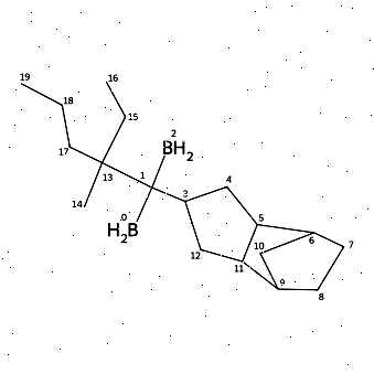 BC(B)(C1CC2C3CCC(C3)C2C1)C(C)(CC)CCC